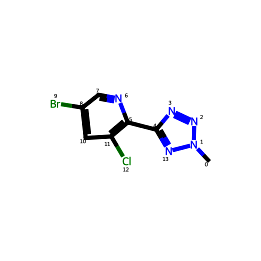 Cn1nnc(-c2ncc(Br)cc2Cl)n1